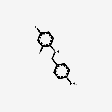 Nc1ccc(CNc2ccc(F)cc2F)cc1